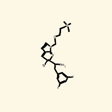 CS(C)(C)CCOCn1ccc2cc(Br)c(C(N)Cc3cc(F)cc(F)c3)nc21